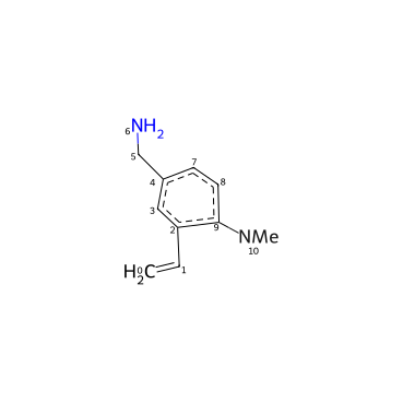 C=Cc1cc(CN)ccc1NC